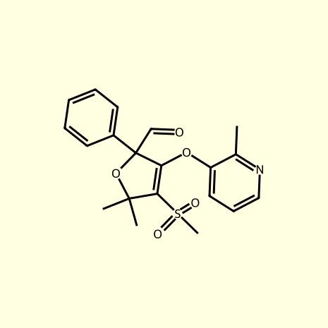 Cc1ncccc1OC1=C(S(C)(=O)=O)C(C)(C)OC1(C=O)c1ccccc1